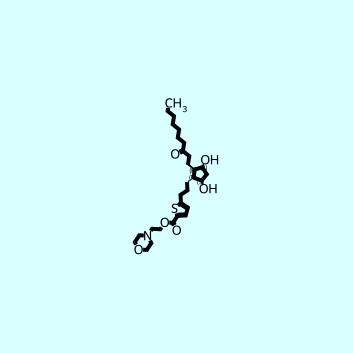 CCCCCCCC(=O)CC[C@@H]1[C@@H](CCCc2ccc(C(=O)OCCN3CCOCC3)s2)[C@@H](O)C[C@H]1O